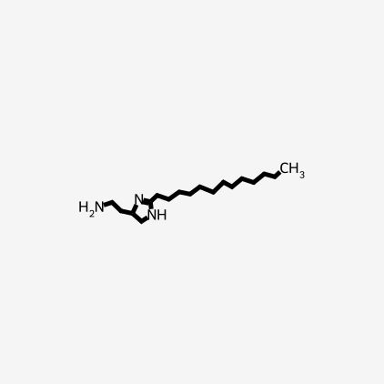 CCCCCCCCCCCCCC1=NC(CCN)CN1